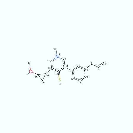 C=CCc1cccc(-c2cn(C)cc(C3CC3OC)c2=S)c1